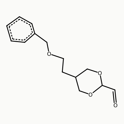 O=CC1OCC(CCOCc2ccccc2)CO1